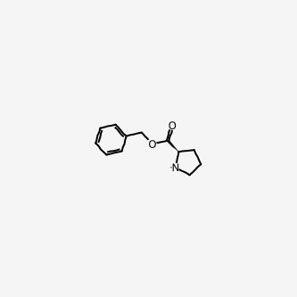 O=C(OCc1ccccc1)[C@H]1CCC[N]1